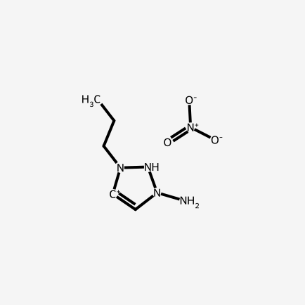 CCCN1[C+]=CN(N)N1.O=[N+]([O-])[O-]